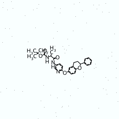 CC(NC(=O)OC(C)(C)C)C(=O)Nc1ccc(Oc2ccc3c(c2)CCC(c2ccccc2)O3)nc1